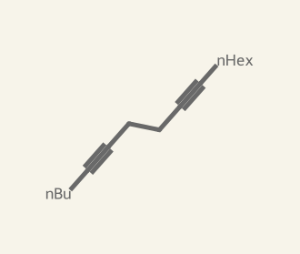 [CH2]CCCCCC#CCCC#CCCCC